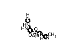 COC1=CC(=N)/C(=C\NC2CCNCC2)C=C1NC(=O)C(=N)/C=C\Nc1ccnc(C)c1